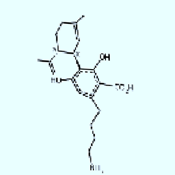 C=C(C)[C@@H]1CCC(C)=C[C@H]1c1c(O)cc(CCCCN)c(C(=O)O)c1O